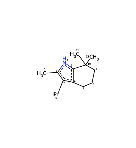 Cc1[nH]c2c(c1C(C)C)CCCC2(C)C